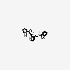 O=C(NC(=O)C1CCCCN1)c1ncccc1CCNc1nsc2ccccc12